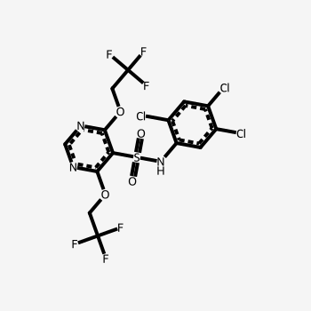 O=S(=O)(Nc1cc(Cl)c(Cl)cc1Cl)c1c(OCC(F)(F)F)ncnc1OCC(F)(F)F